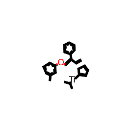 C=CC(=COc1cccc(C)c1)c1ccccc1.C[C](C)=[Ti][C]1=CC=CC1